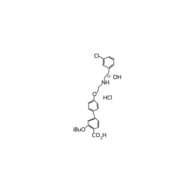 CC(C)COc1cc(-c2ccc(OCCNC[C@@H](O)c3cccc(Cl)c3)cc2)ccc1C(=O)O.Cl